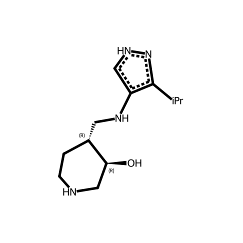 CC(C)c1n[nH]cc1NC[C@H]1CCNC[C@@H]1O